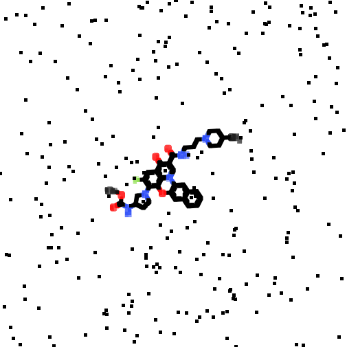 CC1CCN(CCCNC(=O)c2cn3c4c(c(N5CCC(NC(=O)OC(C)(C)C)C5)c(F)cc4c2=O)Oc2cc4ccccc4cc2-3)CC1